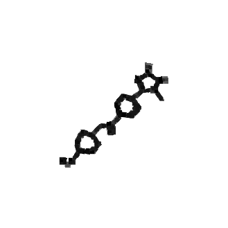 CN1NNN=C1c1ccc(NCc2ccc(N)cc2)cc1